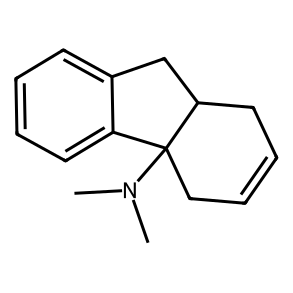 CN(C)C12CC=CCC1Cc1ccccc12